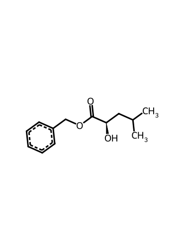 CC(C)C[C@@H](O)C(=O)OCc1ccccc1